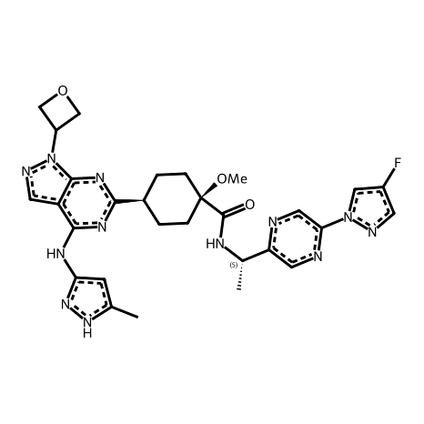 CO[C@]1(C(=O)N[C@@H](C)c2cnc(-n3cc(F)cn3)cn2)CC[C@H](c2nc(Nc3cc(C)[nH]n3)c3cnn(C4COC4)c3n2)CC1